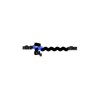 CCCCCCCCCCCCCCCCCCC[n+]1ccn(CCCCCCCC)c1C